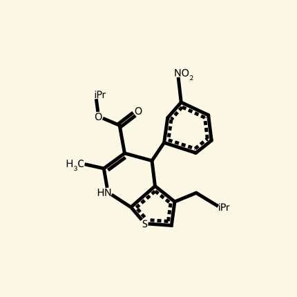 CC1=C(C(=O)OC(C)C)C(c2cccc([N+](=O)[O-])c2)c2c(CC(C)C)csc2N1